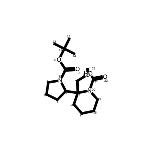 COCC1(C2CCCN2C(=O)OC(C)(C)C)CCCCN1C(=O)O